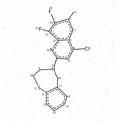 Cc1cc2c(Cl)cc(N3CCSc4ccccc4C3)nc2c(F)c1F